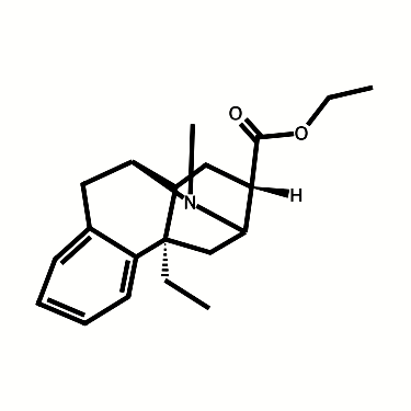 CCOC(=O)[C@H]1CC2C3Cc4ccccc4[C@]2(CC)CC1N3C